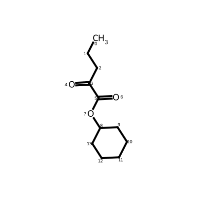 CCCC(=O)C(=O)OC1CCCCC1